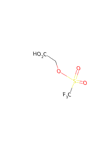 O=C(O)COS(=O)(=O)C(F)(F)F